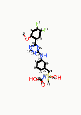 COc1cc(F)c(F)cc1-c1ncnc(Nc2cccc(C[SH](C)(O)=NC(=O)O)c2)n1